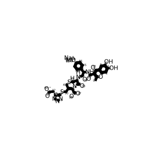 Cc1oc2cc(O)c(O)cc2c(=O)c1C(=O)NC(C(=O)N[C@@H]1C(=O)N2C(C(=O)[O-])=C(CSc3nnnn3CC(=O)[O-])CS[C@@H]12)c1ccc(O)cc1.[Na+].[Na+]